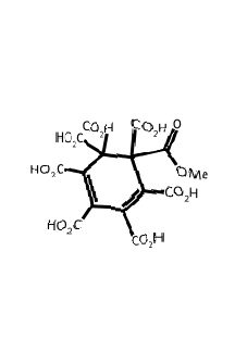 COC(=O)C1(C(=O)O)C(C(=O)O)=C(C(=O)O)C(C(=O)O)=C(C(=O)O)C1(C(=O)O)C(=O)O